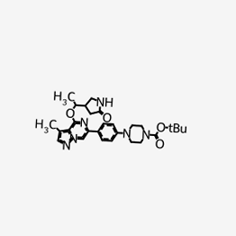 Cc1cnn2cc(-c3ccc(N4CCN(C(=O)OC(C)(C)C)CC4)cc3)nc(OC(C)C3CNC(=O)C3)c12